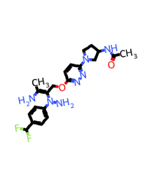 CC(=O)NC1CCN(c2ccc(OC/C(=C(\C)N)N(N)c3ccc(C(F)F)cc3)nn2)C1